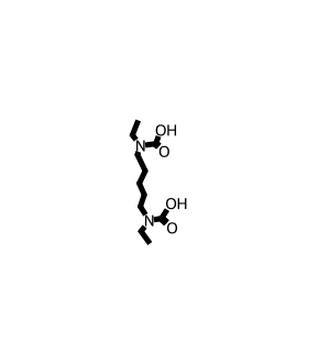 CCN(CCCCCN(CC)C(=O)O)C(=O)O